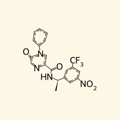 C[C@@H](NC(=O)c1cn(-c2ccccc2)c(=O)cn1)c1cc([N+](=O)[O-])cc(C(F)(F)F)c1